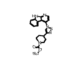 CC(C)(C)OC(=O)N1CCC(c2cn(-c3ccnc4[nH]c5ccccc5c34)nn2)CC1